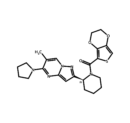 Cc1cn2nc([C@@H]3CCCCN3C(=O)c3scc4c3OCCO4)cc2nc1N1CCCC1